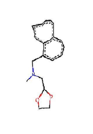 CN(Cc1cccc2ccccc12)CC1OCCO1